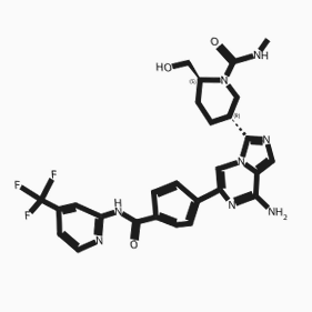 CNC(=O)N1C[C@H](c2ncc3c(N)nc(-c4ccc(C(=O)Nc5cc(C(F)(F)F)ccn5)cc4)cn23)CC[C@H]1CO